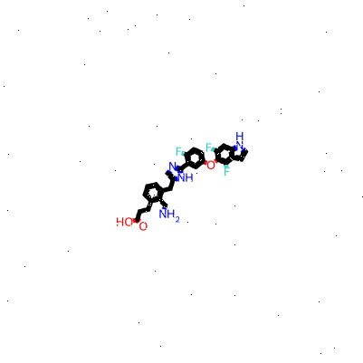 NCc1c(CCC(=O)O)cccc1Cc1cnc(-c2cc(Oc3c(F)cc4[nH]ccc4c3F)ccc2F)[nH]1